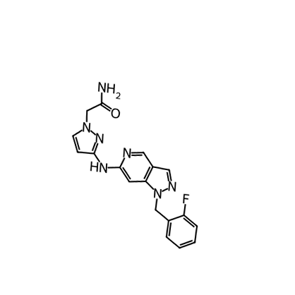 NC(=O)Cn1ccc(Nc2cc3c(cn2)cnn3Cc2ccccc2F)n1